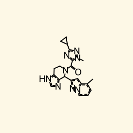 Cc1cccn2nc(C3c4nc[nH]c4CCN3C(=O)c3nc(C4CC4)nn3C)cc12